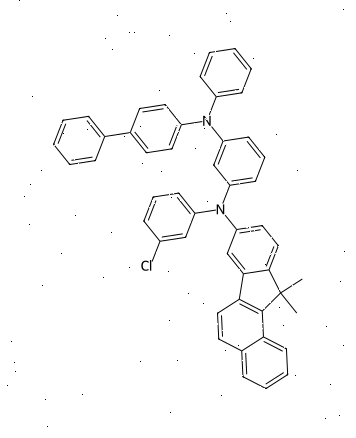 CC1(C)c2ccc(N(c3cccc(Cl)c3)c3cccc(N(c4ccccc4)c4ccc(-c5ccccc5)cc4)c3)cc2-c2ccc3ccccc3c21